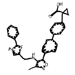 Cc1noc(-c2ccc(-c3ccc(C4(C(=O)O)CC4)cc3)cc2)c1NCc1cnc(-c2ccccc2)s1